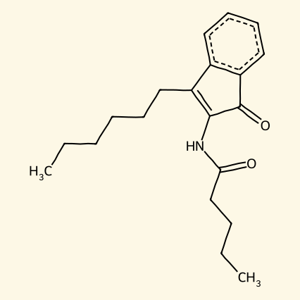 CCCCCCC1=C(NC(=O)CCCC)C(=O)c2ccccc21